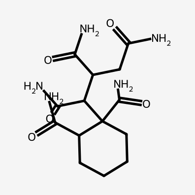 NC(=O)CC(C(N)=O)C(C(N)=O)C1(C(N)=O)CCCCC1C(N)=O